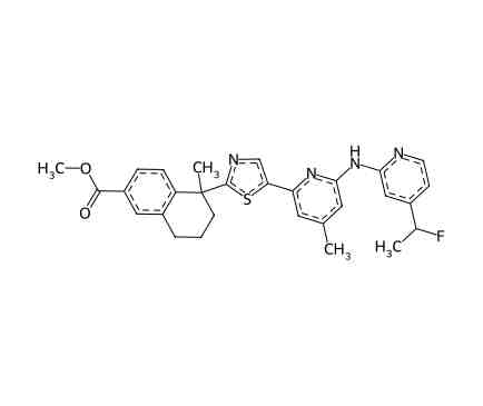 COC(=O)c1ccc2c(c1)CCCC2(C)c1ncc(-c2cc(C)cc(Nc3cc(C(C)F)ccn3)n2)s1